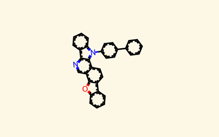 c1ccc(-c2ccc(-n3c4ccccc4c4ncc5c(ccc6c7ccccc7oc65)c43)cc2)cc1